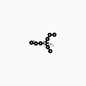 CCc1c(-c2ccc(-c3ccccc3)cc2)nc(-c2ccc(-c3ccc4c(c3)sc3ccccc34)cc2)nc1-c1ccc(C2C=C(C3=CCCC=C3)C=CC2)cc1